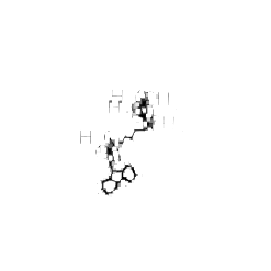 CN(CCCCCN(C)C(=O)OC(C)(C)C)C(=O)OCC1c2ccccc2-c2ccccc21